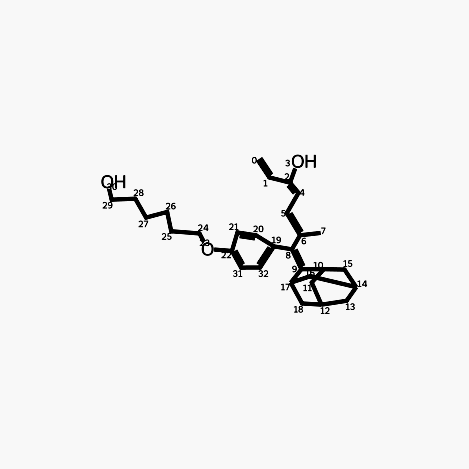 C=C/C(O)=C\C=C(/C)C(=C1C2CC3CC(C2)CC1C3)c1ccc(OCCCCCCO)cc1